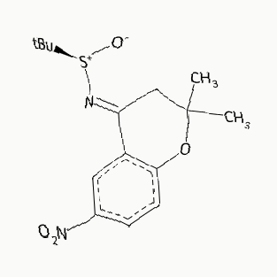 CC1(C)C/C(=N\[S@+]([O-])C(C)(C)C)c2cc([N+](=O)[O-])ccc2O1